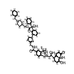 O=C(NCc1ccc(-c2cccc(C(O)(C(=O)OCC3CCN(Cc4ccccc4)CC3)c3ccccc3)c2)s1)c1ccc(CNCC(O)c2ccc(O)c3[nH]c(=O)ccc23)c(C(F)(F)F)c1